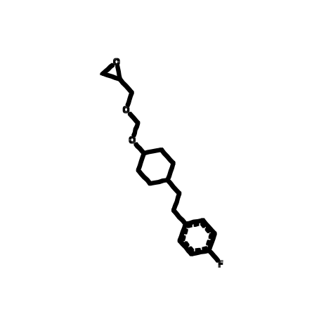 Fc1ccc(CCC2CCC(OCOCC3CO3)CC2)cc1